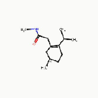 CNC(=O)CC1=C(C(C)C)CC[C@@H](C)C1